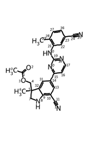 CC(=O)OC[C@@]1(C)CNc2c(C#N)cc(-c3ccnc(Nc4cc(C#N)ccc4C)n3)cc21